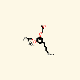 CCCCCCCCCCCCCCCc1cc(OCC(CC)CCCC)cc(OCC2CO2)c1